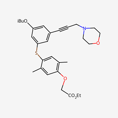 CCOC(=O)COc1cc(C)c(Sc2cc(C#CCN3CCOCC3)cc(OCC(C)C)c2)cc1C